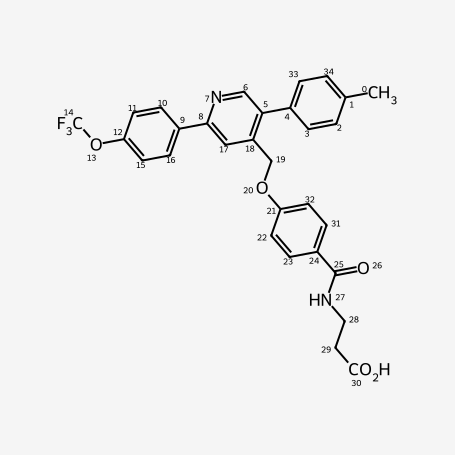 Cc1ccc(-c2cnc(-c3ccc(OC(F)(F)F)cc3)cc2COc2ccc(C(=O)NCCC(=O)O)cc2)cc1